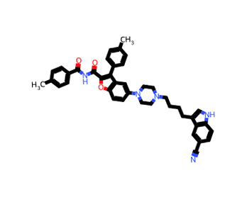 Cc1ccc(C(=O)NC(=O)c2oc3ccc(N4CCN(CCCCc5c[nH]c6ccc(C#N)cc56)CC4)cc3c2-c2ccc(C)cc2)cc1